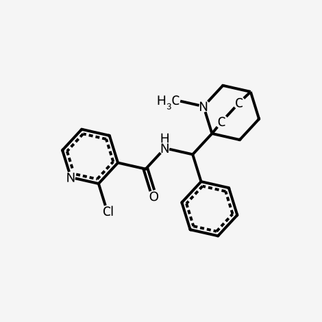 CN1CC2CCC1(C(NC(=O)c1cccnc1Cl)c1ccccc1)CC2